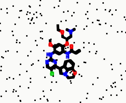 C=CC(=O)Nc1cc(Nc2ncc(Cl)c(-c3cn4c5c(cccc35)OCC4)n2)c(OC)cc1O[C@@H](COCC)CN(C)C